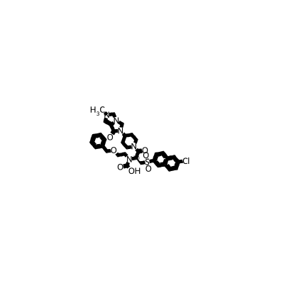 CN1C=C2C(=O)N(C3CCN(C(=O)[C@@H](CS(=O)(=O)c4ccc5cc(Cl)ccc5c4)N(CCOCc4ccccc4)C(=O)O)CC3)CN2C1